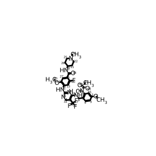 COc1ccc(CNc2nc(Nc3cc(F)c(C(=O)NC4CCN(C)CC4)cc3OC)ncc2C(F)(F)F)c(N(C)S(C)(=O)=O)c1